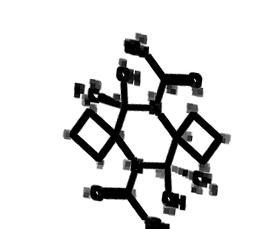 CC(C)(C)C(=O)N1C2(CCC2)[C@@](O)(C(F)(F)F)N(C(=O)C(C)(C)C)C2(CCC2)[C@]1(O)C(F)(F)F